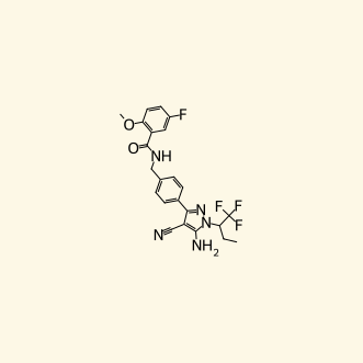 CCC(n1nc(-c2ccc(CNC(=O)c3cc(F)ccc3OC)cc2)c(C#N)c1N)C(F)(F)F